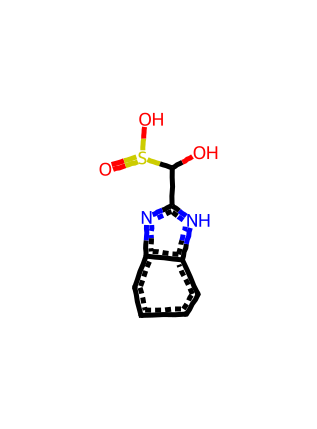 O=S(O)C(O)c1nc2ccccc2[nH]1